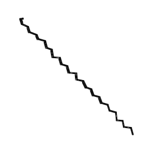 [CH]=C/C=C/C=C/C=C/C=C/C=C/C=C/C=C/C=C/C=C/C=C/CCCCCCCC